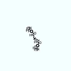 CC(COC(C)(C)CCNC(=O)c1ccc(C2(C(F)(F)F)N=N2)cc1)NC(=O)c1ccc(C2(C(F)(F)F)N=N2)cc1